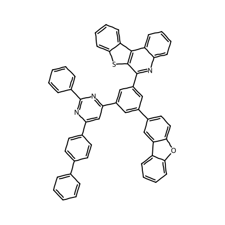 c1ccc(-c2ccc(-c3cc(-c4cc(-c5ccc6oc7ccccc7c6c5)cc(-c5nc6ccccc6c6c5sc5ccccc56)c4)nc(-c4ccccc4)n3)cc2)cc1